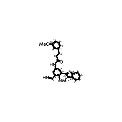 CNc1c(C=N)cc(NC(=O)CCc2cccc(OC)c2)cc1-c1cc2ccccc2s1